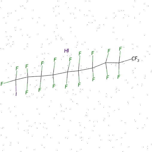 FC(F)(F)C(F)(F)C(F)(F)C(F)(F)C(F)(F)C(F)(F)C(F)(F)C(F)(F)C(F)(F)C(F)(F)I.I